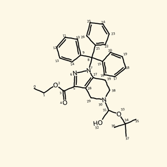 CCOC(=O)c1nn(C(c2ccccc2)(c2ccccc2)c2ccccc2)c2c1CN(C(O)OC(C)(C)C)CC2